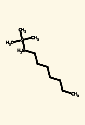 CCCCCCC[SiH2][Si](C)(C)C